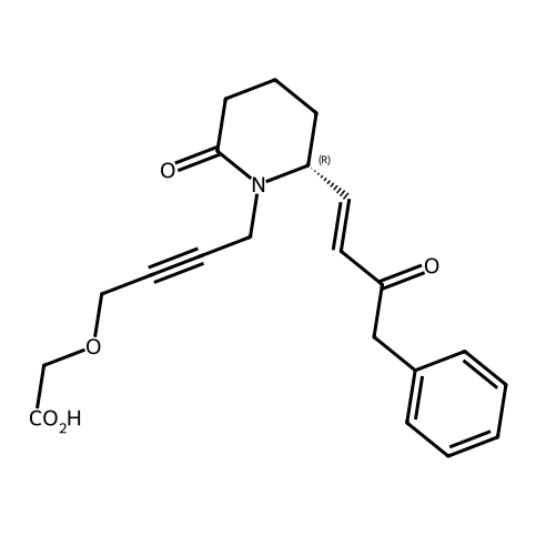 O=C(O)COCC#CCN1C(=O)CCC[C@@H]1C=CC(=O)Cc1ccccc1